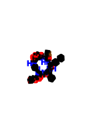 CC(=O)O[C@H]1C(=O)Nc2ccc(cc2)C[C@H](C(=O)N[C@@H](Cc2ccccc2)C(=O)O)NC(=O)[C@@H](CCc2ccccc2)NC(=O)[C@H](Cc2ccc(-c3ccccc3)cc2)NC(=O)[C@@H](Cc2cccs2)NC(=O)[C@@H]1OC(C)=O